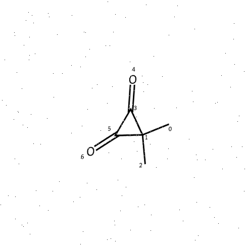 CC1(C)C(=O)C1=O